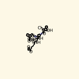 O=C(CCCCCN1C(=O)C=CC1=O)NCCC(=O)Nc1cc(/C=C/C(=O)N2C[C@@H](CCl)c3c2cc(O)c2ccccc32)ccc1/C=C/C(=O)N1CCc2c1cc(O[PH](=O)O)c1ccccc21